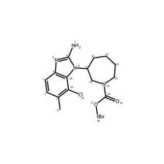 Cc1ccc2nc(N)n(C3CCCCN(C(=O)OC(C)(C)C)C3)c2c1Cl